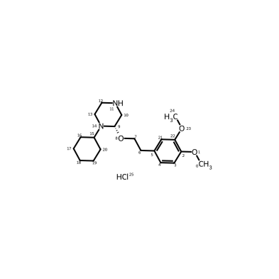 COc1ccc(CCO[C@H]2CNCCN2C2CCCCC2)cc1OC.Cl